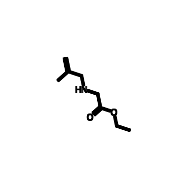 C=C(C)CNCC(=O)OCC